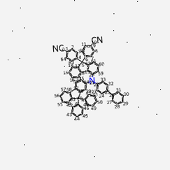 N#Cc1ccc(C2(c3ccc(C#N)cc3)c3ccccc3-c3c(N(c4ccc(-c5ccccc5)cc4)c4ccc5c(c4)C(c4ccccc4)(c4ccccc4)c4ccccc4-5)cccc32)cc1